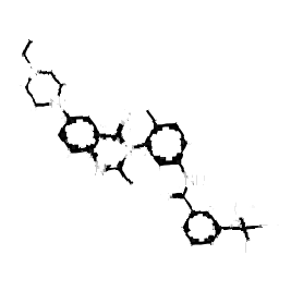 CCN1CCN(c2ccc3nc(C)n(-c4cc(NC(=O)c5cccc(C(F)(F)F)c5)ccc4C)c(=O)c3c2)CC1